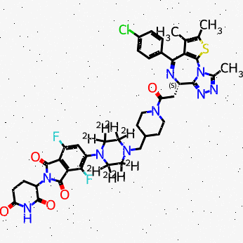 [2H]C1([2H])N(CC2CCN(C(=O)C[C@@H]3N=C(c4ccc(Cl)cc4)c4c(sc(C)c4C)-n4c(C)nnc43)CC2)C([2H])([2H])C([2H])([2H])N(c2cc(F)c3c(c2F)C(=O)N(C2CCC(=O)NC2=O)C3=O)C1([2H])[2H]